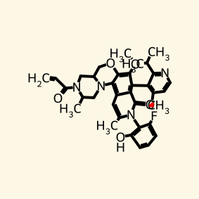 C=CC(=O)N1CC2COc3c(OC)c(-c4c(C)ccnc4C(C)C)c4c(=O)n(-c5c(O)cccc5F)c(C)cc4c3N2CC1C